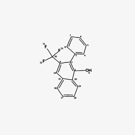 Oc1c(-c2ccccc2)c(C(F)(F)F)cc2ccccc12